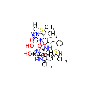 Cc1ncsc1-c1ccc([C@H](C)NC(=O)[C@@H]2C[C@@H](O)CN2C(=O)[C@@H](NC(=O)c2cc(-c3ccccc3)ccc2C2=N[C@@H](CC(=O)O)c3nnc(C)n3-c3sc(C)c(C)c32)C(C)(C)C)cc1